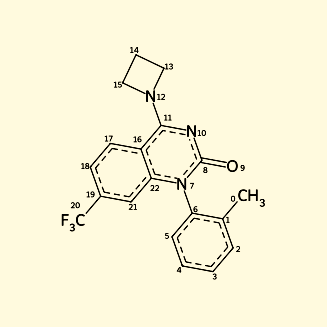 Cc1ccccc1-n1c(=O)nc(N2CCC2)c2ccc(C(F)(F)F)cc21